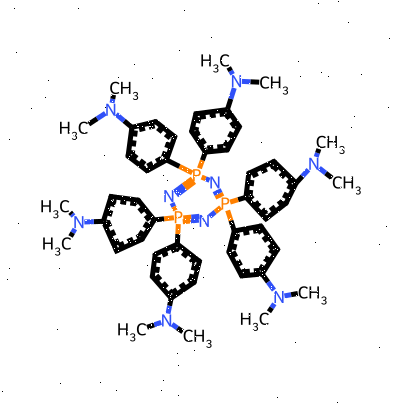 CN(C)c1ccc(P2(c3ccc(N(C)C)cc3)=NP(c3ccc(N(C)C)cc3)(c3ccc(N(C)C)cc3)=NP(c3ccc(N(C)C)cc3)(c3ccc(N(C)C)cc3)=N2)cc1